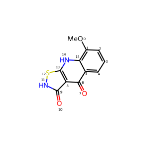 COc1cccc2c(=O)c3c(=O)[nH]sc3[nH]c12